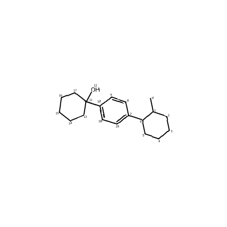 CC1CCCCC1c1ccc(C2(O)CCCCC2)cc1